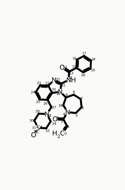 C=CC(=O)N1CCCCC(n2c(NC(=O)c3ccccc3)nc3cccc(CN4CC[S+]([O-])CC4)c32)C1